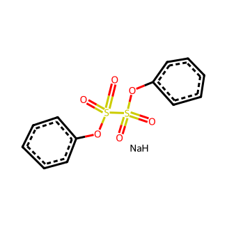 O=S(=O)(Oc1ccccc1)S(=O)(=O)Oc1ccccc1.[NaH]